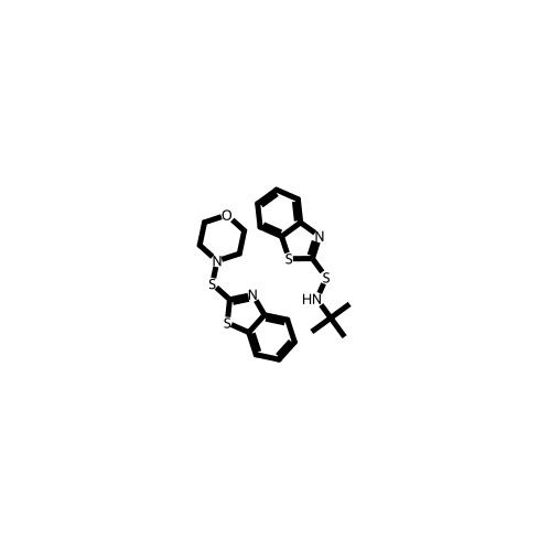 CC(C)(C)NSc1nc2ccccc2s1.c1ccc2sc(SN3CCOCC3)nc2c1